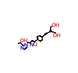 CC(O)c1nccn1Cc1cc(-c2ccc(C#CC3C(CO)C3CO)cc2)on1